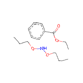 CCCONOCCC.CCOC(=O)c1ccccc1